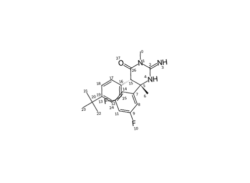 CN1C(=N)N[C@](C)(c2cc(F)cc(F)c2)[C@H](c2ccc(C(C)(C)C)cc2)C1=O